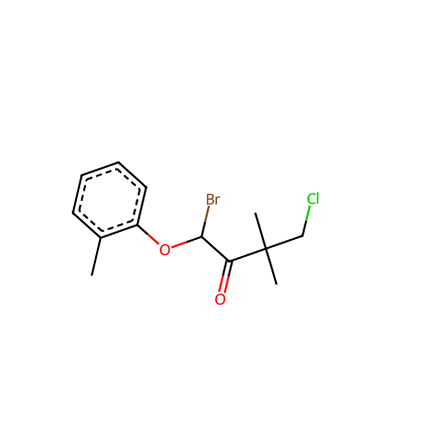 Cc1ccccc1OC(Br)C(=O)C(C)(C)CCl